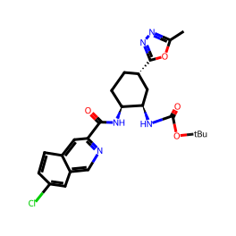 Cc1nnc([C@H]2CC[C@H](NC(=O)c3cc4ccc(Cl)cc4cn3)[C@H](NC(=O)OC(C)(C)C)C2)o1